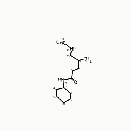 CC(CCC(=O)NC1CCCCC1)CNC=O